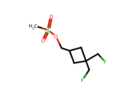 CS(=O)(=O)OCC1CC(CF)(CF)C1